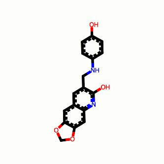 Oc1ccc(NCc2cc3cc4c(cc3nc2O)OCO4)cc1